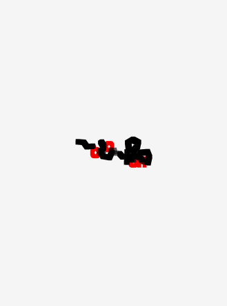 C=C1O[C@H](CCC(C)(C)[Si](O)(c2ccccc2)c2ccccc2)CC[C@H]1OCCCC